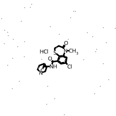 CN1C(=O)CCSc2c(C(=O)NC3CN4CCC3CC4)cc(Cl)cc21.Cl